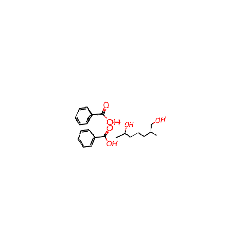 CC(O)CCCC(C)CO.O=C(O)c1ccccc1.O=C(O)c1ccccc1